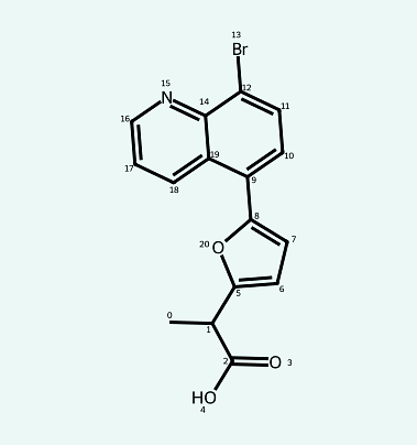 CC(C(=O)O)c1ccc(-c2ccc(Br)c3ncccc23)o1